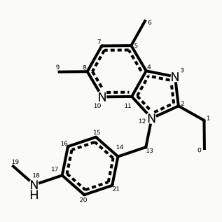 CCc1nc2c(C)cc(C)nc2n1Cc1ccc(NC)cc1